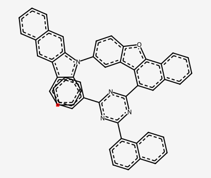 c1ccc(-c2nc(-c3cccc4ccccc34)nc(-c3cc4ccccc4c4oc5ccc(-n6c7ccccc7c7cc8ccccc8cc76)cc5c34)n2)cc1